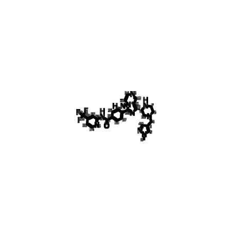 Cn1cc(CN2CCN[C@@H](C3=C4C=NC=C[N+]4(N)C(c4ccc(C(=O)Nc5cc(C(F)(F)F)ccn5)cc4)=N3)C2)cn1